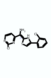 N/C(=C1\NC(c2ccccc2Cl)=CS1)c1ccnc(Cl)n1